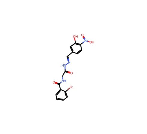 O=C(CNC(=O)c1ccccc1Br)N/N=C/c1ccc([N+](=O)O)c(O)c1